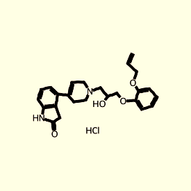 C=CCOc1ccccc1OCC(O)CN1CC=C(c2cccc3c2CC(=O)N3)CC1.Cl